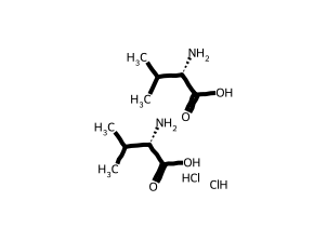 CC(C)[C@H](N)C(=O)O.CC(C)[C@H](N)C(=O)O.Cl.Cl